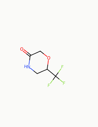 O=C1COC(C(F)(F)F)CN1